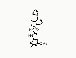 COc1nc(C)nc(NC(=O)NS(=O)(=O)C2=CC=CC(n3cccc3)C2=S)n1